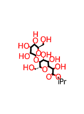 CC(C)OC(=O)C(O)C1O[C@H](CO)[C@@H](OC2O[C@H](CO)[C@H](O)[C@H](O)[C@H]2O)[C@H](O)[C@H]1O